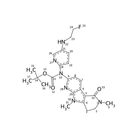 CN1CCc2c(c3ccc(N(C(=O)OC(C)(C)C)c4ccc(NCCF)cn4)nc3n2C)C1=O